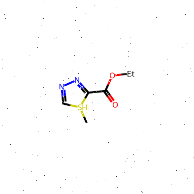 CCOC(=O)C1=NN=C[SH]1C